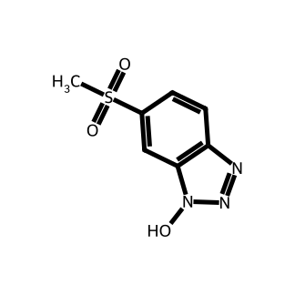 CS(=O)(=O)c1ccc2nnn(O)c2c1